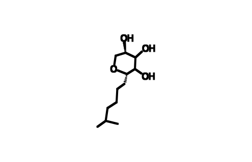 CC(C)CCCC[C@@H]1OC[C@@H](O)C(O)C1O